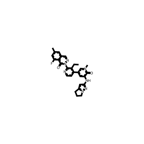 CCc1c(-c2cc(Nc3cc4n(n3)CCC4)c(=O)n(C)c2)ccnc1-n1ncc2cc(C)cc(F)c2c1=O